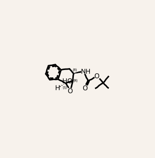 CC(C)(C)OC(=O)N[C@@H]1Cc2ccccc2[C@@H]2O[C@]12O